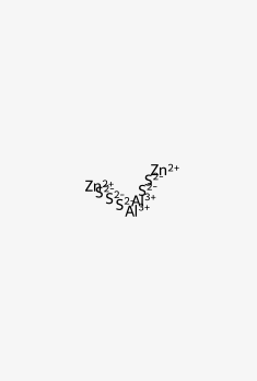 [Al+3].[Al+3].[S-2].[S-2].[S-2].[S-2].[S-2].[Zn+2].[Zn+2]